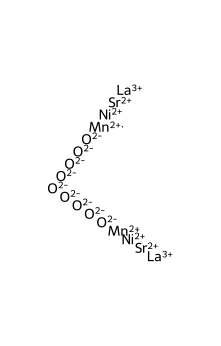 [La+3].[La+3].[Mn+2].[Mn+2].[Ni+2].[Ni+2].[O-2].[O-2].[O-2].[O-2].[O-2].[O-2].[O-2].[O-2].[O-2].[Sr+2].[Sr+2]